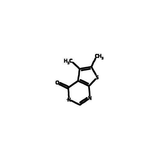 Cc1sc2c(c1C)C(=O)[N]C=N2